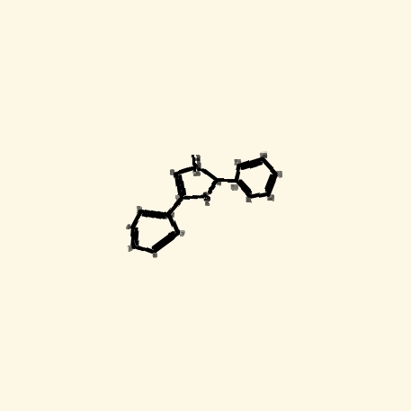 C1=C(c2ccccc2)SC(c2ccccc2)N1